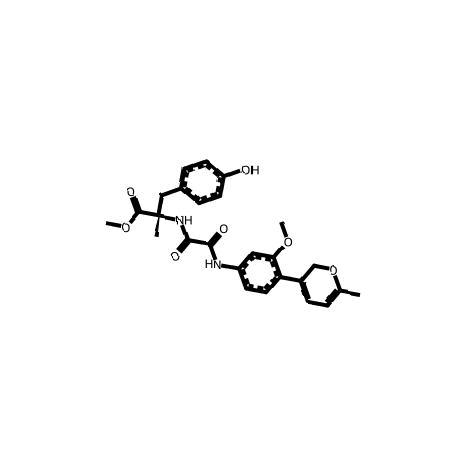 COC(=O)[C@](C)(Cc1ccc(O)cc1)NC(=O)C(=O)Nc1ccc(C2=CC=C(C)OC2)c(OC)c1